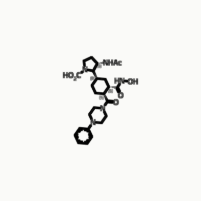 CC(=O)N[C@H]1CCN(C(=O)O)C1[C@@H]1CC[C@H](C(=O)N2CCN(c3ccccc3)CC2)[C@@H](C(=O)NO)C1